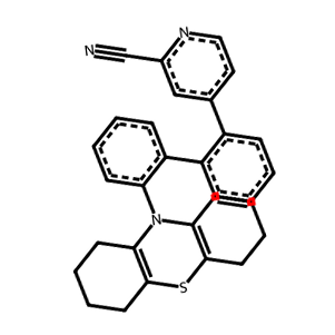 N#Cc1cc(-c2ccccc2-c2ccccc2N2C3=C(CCC=C3)SC3=C2CCCC3)ccn1